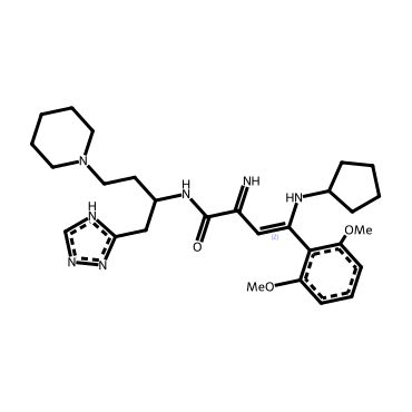 COc1cccc(OC)c1/C(=C/C(=N)C(=O)NC(CCN1CCCCC1)Cc1nnc[nH]1)NC1CCCC1